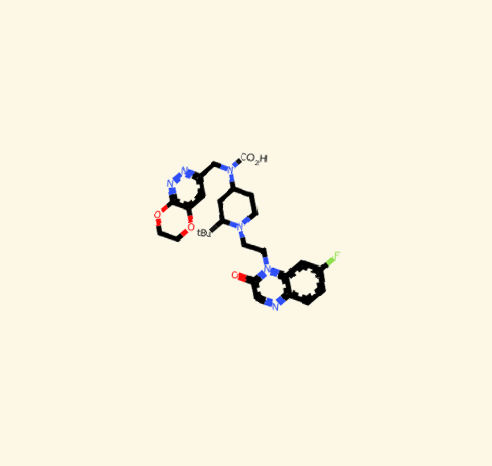 CC(C)(C)C1CC(N(Cc2cc3c(nn2)OCCO3)C(=O)O)CCN1CCn1c(=O)cnc2ccc(F)cc21